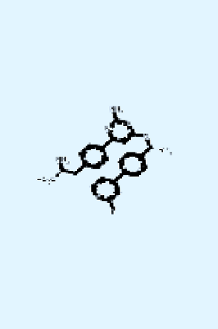 Nc1nc(O[C@@H](c2ccc(-c3ccnc(F)c3)cc2)C(F)(F)F)cc(-c2ccc(C[C@H](N)C(=O)O)cc2)n1